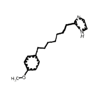 COc1ccc(CCCCCCCc2ncc[nH]2)cc1